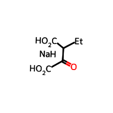 CCC(C(=O)O)C(=O)C(=O)O.[NaH]